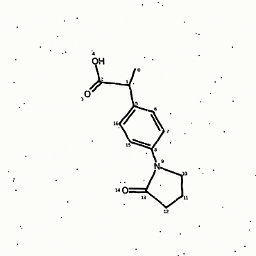 CC(C(=O)O)c1ccc(N2CCCC2=O)cc1